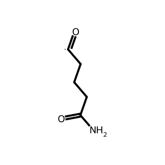 NC(=O)CCC[C]=O